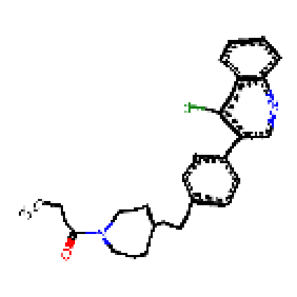 CCC(=O)N1CCC(Cc2ccc(-c3cnc4ccccc4c3Cl)cc2)CC1